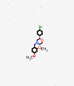 COc1ccc(CN2CCO[C@H](c3ccc(Br)cc3)C2)c(OC)c1